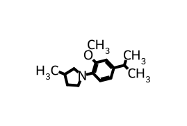 COc1cc(C(C)C)ccc1N1CCC(C)C1